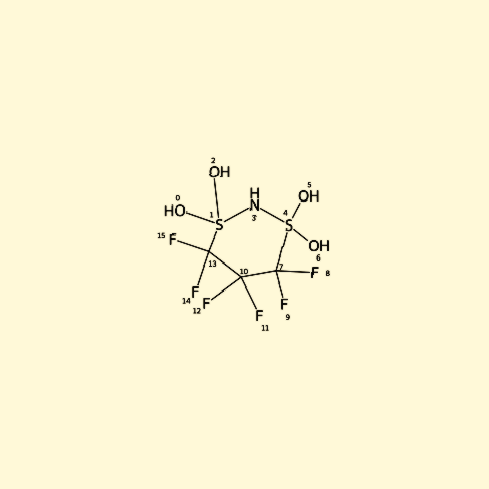 OS1(O)NS(O)(O)C(F)(F)C(F)(F)C1(F)F